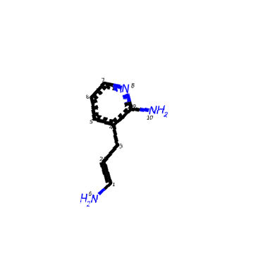 NC=CCc1cccnc1N